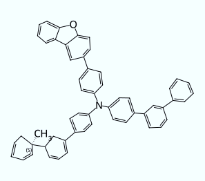 C[C@]1(C2C=CC=C(c3ccc(N(c4ccc(-c5cccc(-c6ccccc6)c5)cc4)c4ccc(-c5ccc6oc7ccccc7c6c5)cc4)cc3)C2)C=CC=CC1